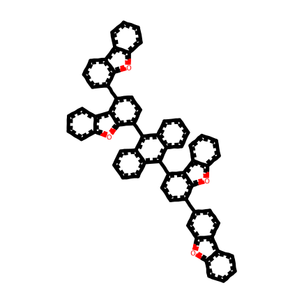 c1ccc2c(c1)oc1cc(-c3ccc(-c4c5ccccc5c(-c5ccc(-c6cccc7c6oc6ccccc67)c6c5oc5ccccc56)c5ccccc45)c4c3oc3ccccc34)ccc12